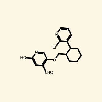 O=Cc1cc(O)ncc1OCC1CCCCC1c1cccnc1Cl